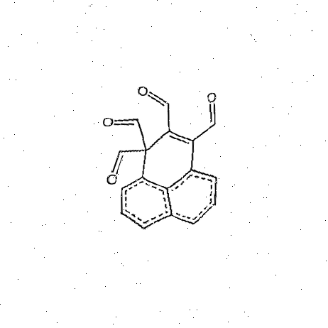 O=CC1=C(C=O)C(C=O)(C=O)c2cccc3cccc1c23